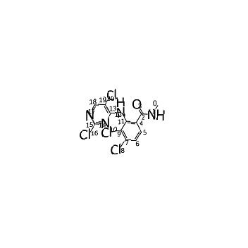 CNC(=O)c1ccc(Cl)c(Cl)c1Nc1nc(Cl)ncc1Cl